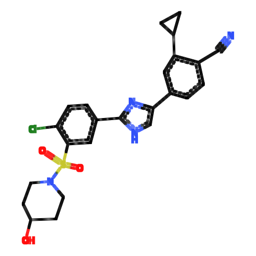 N#Cc1ccc(-c2c[nH]c(-c3ccc(Cl)c(S(=O)(=O)N4CCC(O)CC4)c3)n2)cc1C1CC1